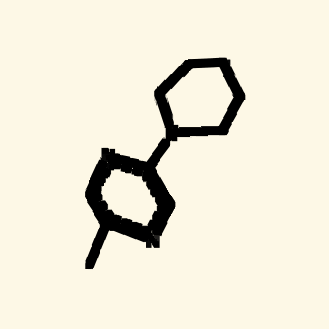 Cc1cnc(N2CC[CH]CC2)cn1